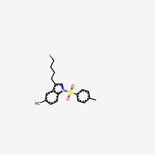 Cc1ccc(S(=O)(=O)n2cc(CCCCI)c3cc(C#N)ccc32)cc1